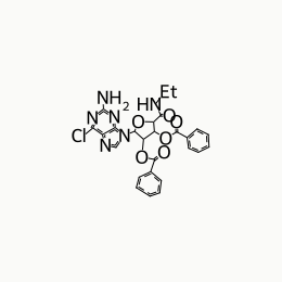 CCNC(=O)C1OC(n2cnc3c(Cl)nc(N)nc32)C(OC(=O)c2ccccc2)C1OC(=O)c1ccccc1